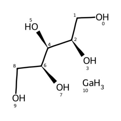 OC[C@@H](O)[C@H](O)[C@@H](O)CO.[GaH3]